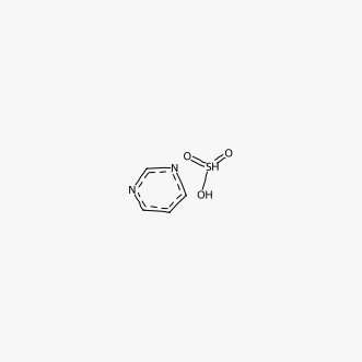 O=[SH](=O)O.c1cncnc1